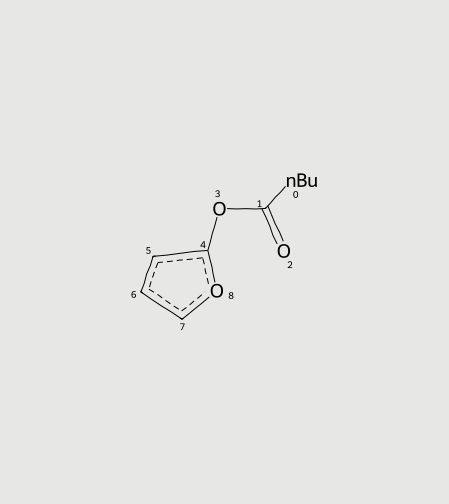 CCCCC(=O)Oc1ccco1